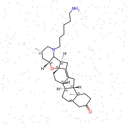 C[C@H]1C[C@H]2O[C@@]34CC[C@@H]5C(=C3C[C@@H]4C2N(CCCCCCN)C1)C[C@H]1[C@H]5CC=C2CC(=O)CC[C@@]21C